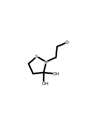 [O]CCN1SCCC1(O)O